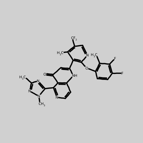 Cc1nc(-c2nccc3[nH]c(-c4c(Oc5ccc(F)c(F)c5C)ncc(C(F)(F)F)c4C)cc(=O)c23)n(C)n1